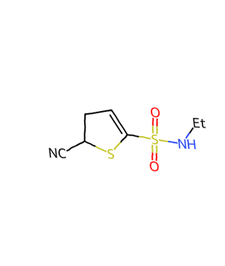 CCNS(=O)(=O)C1=CCC(C#N)S1